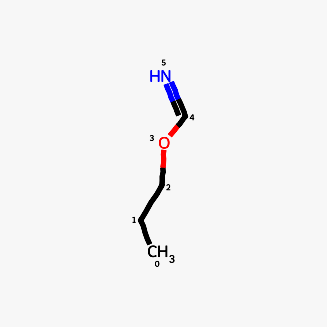 CCCOC=N